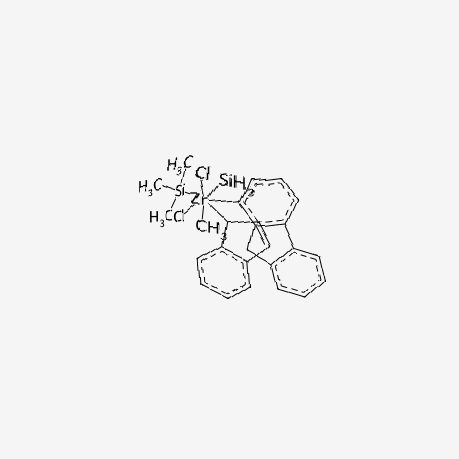 C[Si](C)(C)[Zr]([CH3])([SiH3])([Cl])([Cl])([c]1cccc2c1Cc1ccccc1-2)[CH]1C=Cc2ccccc21